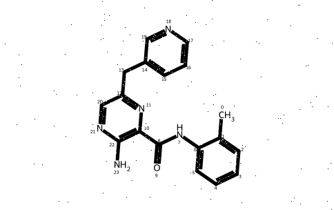 Cc1ccccc1NC(=O)c1nc(Cc2cccnc2)cnc1N